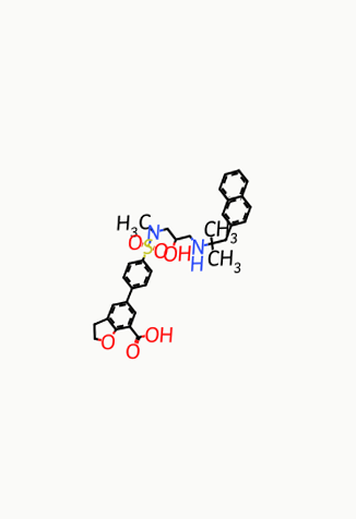 CN(CC(O)CNC(C)(C)Cc1ccc2ccccc2c1)S(=O)(=O)c1ccc(-c2cc3c(c(C(=O)O)c2)OCC3)cc1